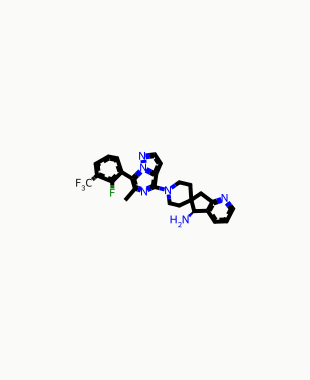 Cc1nc(N2CCC3(CC2)Cc2ncccc2[C@H]3N)c2ccnn2c1-c1cccc(C(F)(F)F)c1F